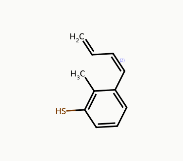 C=C/C=C\c1cccc(S)c1C